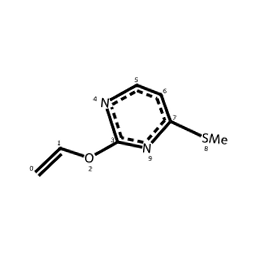 C=COc1nccc(SC)n1